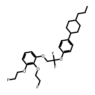 CCCC1CCC(c2ccc(OC(F)(F)COc3cccc(OCCF)c3OCCF)cc2)CC1